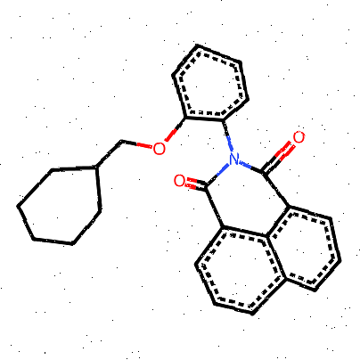 O=C1c2cccc3cccc(c23)C(=O)N1c1ccccc1OCC1CCCCC1